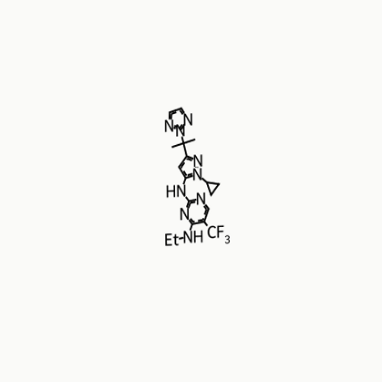 CCNc1nc(Nc2cc(C(C)(C)n3nccn3)nn2C2CC2)ncc1C(F)(F)F